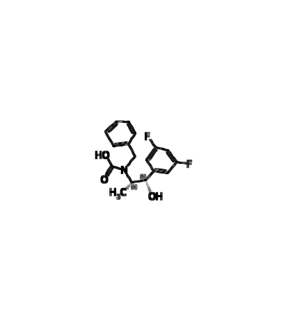 C[C@@H]([C@@H](O)c1cc(F)cc(F)c1)N(Cc1ccccc1)C(=O)O